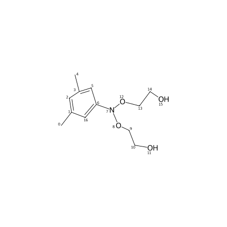 Cc1cc(C)cc(N(OCCO)OCCO)c1